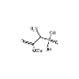 COC(=O)C(N)P(=O)(O)O